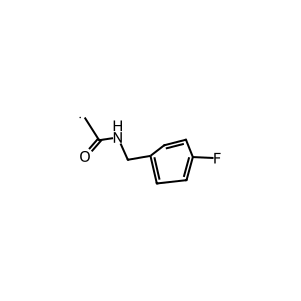 [CH2]C(=O)NCc1ccc(F)cc1